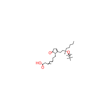 CCCCC[C@@](C)(CCC1=CCC(=O)[C@@H]1CCC=C=CCC(=O)O)O[Si](C)(C)C(C)(C)C